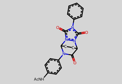 CC(=O)Nc1ccc(N2C(=O)C3CCC2n2c(=O)n(-c4ccccc4)c(=O)n23)cc1